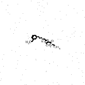 CCOC(=O)c1nc(CNCCCc2cccc(CC)c2)sc1C